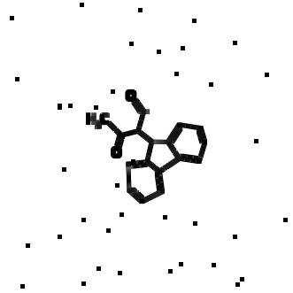 CC(=O)C([C]=O)C1c2ccccc2-c2ccccc21